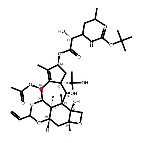 C=CC1O[C@H]2C[C@H]3OC[C@@]3(O)[C@H]3[C@H](O)[C@]4(C(C)(C)O)C[C@H](OC(=O)[C@H](O)C(CC(C)C)NC(=O)OC(C)(C)C)C(C)=C4[C@H](OC(C)=O)[C@H](O1)[C@]23C